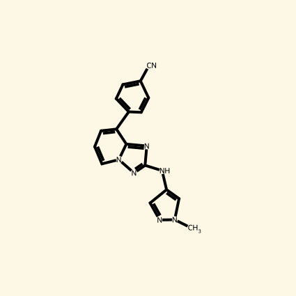 Cn1cc(Nc2nc3c(-c4ccc(C#N)cc4)cccn3n2)cn1